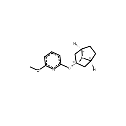 COc1cccc(O[C@@H]2C[C@H]3CC[C@@H](C2)N3C)n1